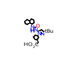 CC(C)(C)c1cc(NC(=O)Nc2cccc3ccccc23)n(-c2cccc(CC(=O)O)c2)n1